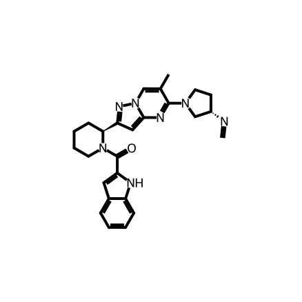 C=N[C@H]1CCN(c2nc3cc([C@@H]4CCCCN4C(=O)c4cc5ccccc5[nH]4)nn3cc2C)C1